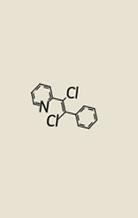 ClC(=C(Cl)c1ccccn1)c1ccccc1